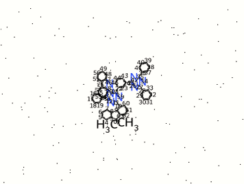 CC1(C)c2ccccc2-c2c(-c3nc(-c4ccccc4)nc(-c4cc(-c5nc(-c6ccccc6)nc(-c6ccccc6)n5)ccc4-n4c5ccccc5c5ccccc54)n3)cccc21